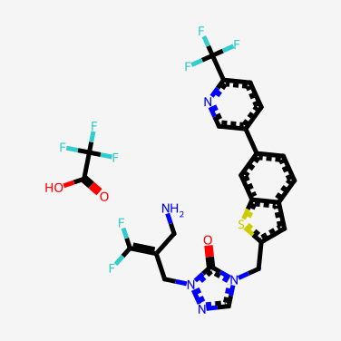 NCC(Cn1ncn(Cc2cc3ccc(-c4ccc(C(F)(F)F)nc4)cc3s2)c1=O)=C(F)F.O=C(O)C(F)(F)F